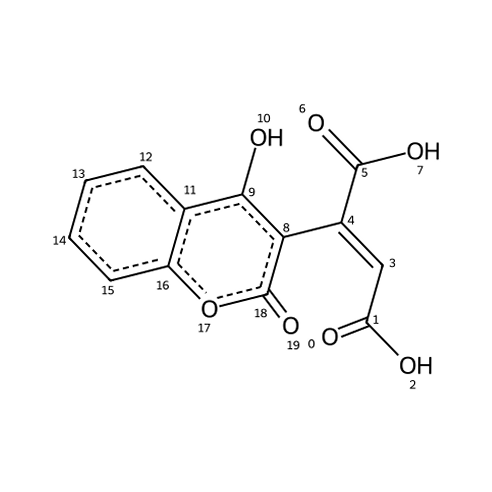 O=C(O)/C=C(/C(=O)O)c1c(O)c2ccccc2oc1=O